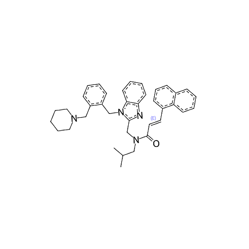 CC(C)CN(Cc1nc2ccccc2n1Cc1ccccc1CN1CCCCC1)C(=O)/C=C/c1cccc2ccccc12